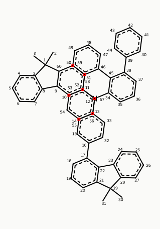 CC1(C)c2ccccc2-c2cc(N(c3ccc(-c4cccc5c4-c4ccccc4C5(C)C)cc3)c3cccc(-c4ccccc4)c3-c3ccccc3-c3ccccc3)ccc21